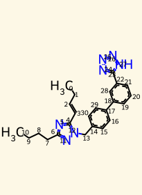 CCC=Cc1nc(CCCC)nn1Cc1ccc(-c2cccc(-c3nnn[nH]3)c2)cc1